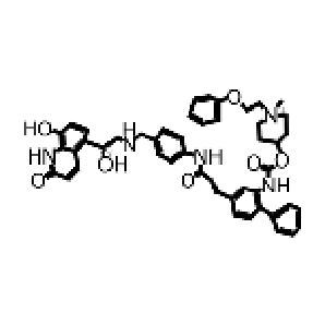 C[N+]1(CCOc2ccccc2)CCC(OC(=O)Nc2cc(CCC(=O)Nc3ccc(CNC[C@H](O)c4ccc(O)c5[nH]c(=O)ccc45)cc3)ccc2-c2ccccc2)CC1